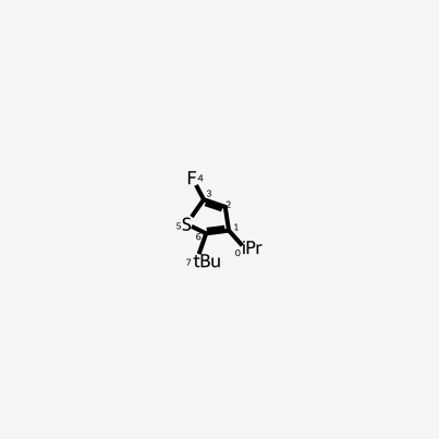 CC(C)c1cc(F)sc1C(C)(C)C